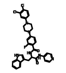 O=C(NC(Cc1c[nH]c2ccccc12)C(=O)Nc1ccncc1)c1ccc(N2CCN(c3ccc(Cl)c(Cl)c3)CC2)cc1F